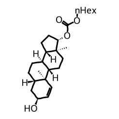 CCCCCCOC(=O)O[C@H]1CC[C@H]2[C@@H]3CC[C@H]4C[C@H](O)C=C[C@]4(C)[C@H]3CC[C@]12C